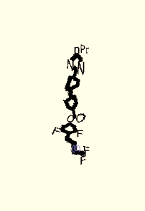 CCCc1cnc(-c2ccc(-c3ccc(C(=O)Oc4cc(F)c(C/C=C/C(F)F)c(F)c4)cc3)cc2)nc1